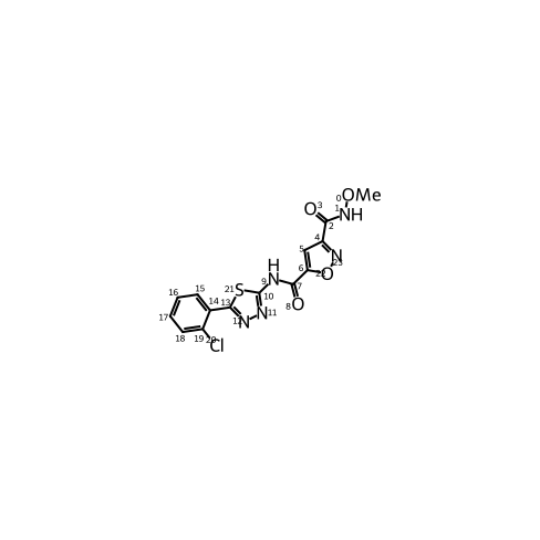 CONC(=O)c1cc(C(=O)Nc2nnc(-c3ccccc3Cl)s2)on1